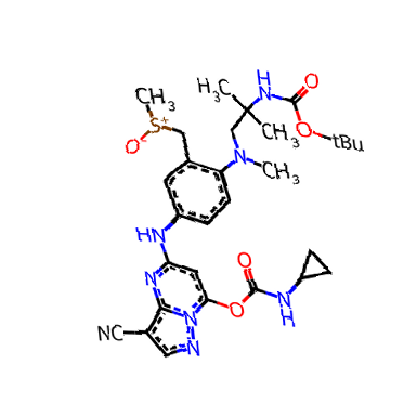 CN(CC(C)(C)NC(=O)OC(C)(C)C)c1ccc(Nc2cc(OC(=O)NC3CC3)n3ncc(C#N)c3n2)cc1C[S+](C)[O-]